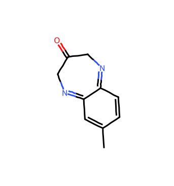 Cc1ccc2c(c1)=NCC(=O)CN=2